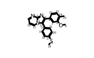 COc1cc(-c2nc3ncccn3c2-c2ccc(SC)cc2)ccc1C